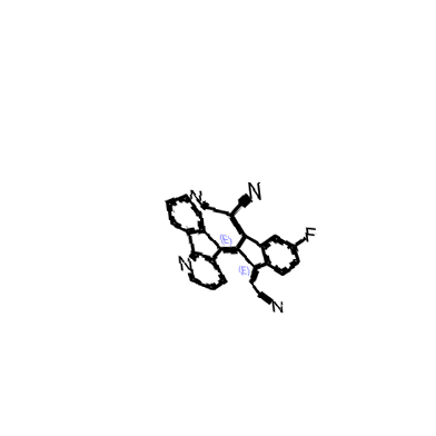 N#C/C=C1/C(=C2/c3ccccc3-c3ncccc32)C(=C(C#N)C#N)c2cc(F)ccc21